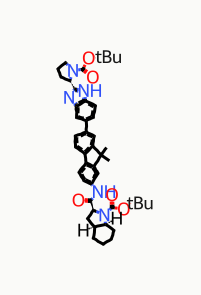 CC(C)(C)OC(=O)N1CCC[C@H]1c1nc2cc(-c3ccc4c(c3)C(C)(C)c3cc(NC(=O)[C@@H]5C[C@@H]6CCCC[C@@H]6N5C(=O)OC(C)(C)C)ccc3-4)ccc2[nH]1